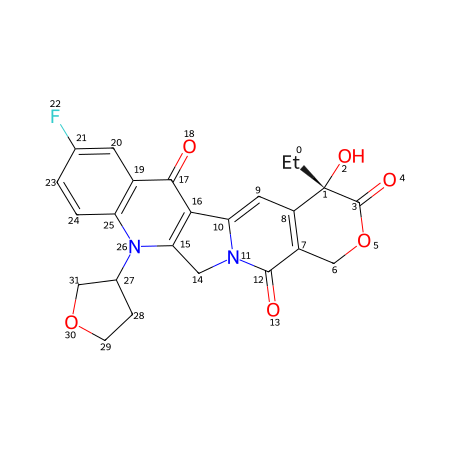 CC[C@@]1(O)C(=O)OCc2c1cc1n(c2=O)Cc2c-1c(=O)c1cc(F)ccc1n2C1CCOC1